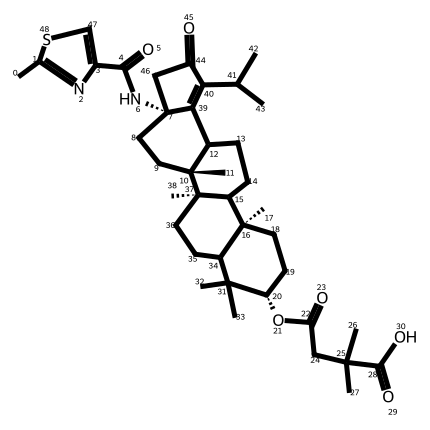 Cc1nc(C(=O)N[C@@]23CC[C@]4(C)C(CCC5[C@@]6(C)CC[C@H](OC(=O)CC(C)(C)C(=O)O)C(C)(C)C6CC[C@]54C)C2=C(C(C)C)C(=O)C3)cs1